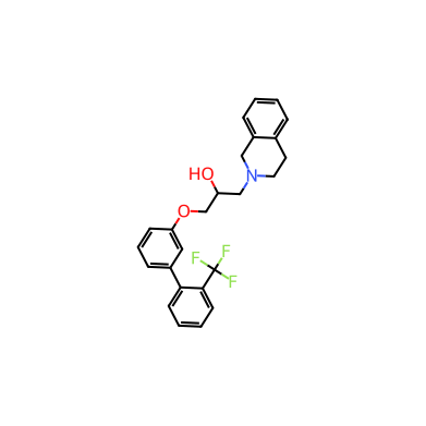 OC(COc1cccc(-c2ccccc2C(F)(F)F)c1)CN1CCc2ccccc2C1